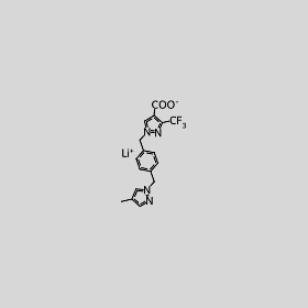 Cc1cnn(Cc2ccc(Cn3cc(C(=O)[O-])c(C(F)(F)F)n3)cc2)c1.[Li+]